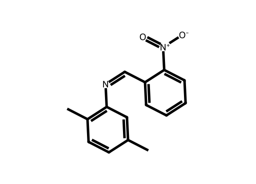 Cc1ccc(C)c(/N=C\c2ccccc2[N+](=O)[O-])c1